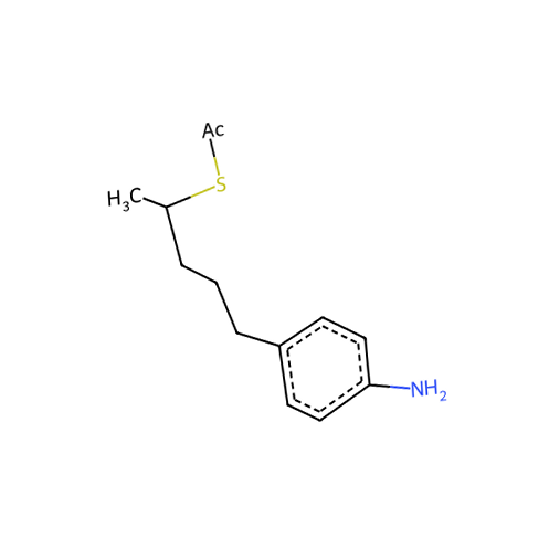 CC(=O)SC(C)CCCc1ccc(N)cc1